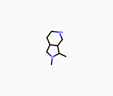 CC1C2CNCCC2CN1C